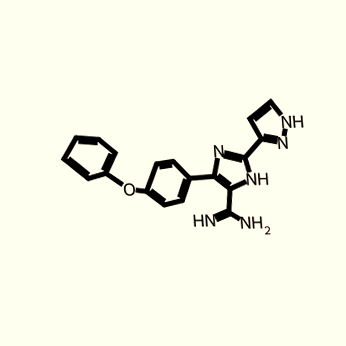 N=C(N)c1[nH]c(-c2cc[nH]n2)nc1-c1ccc(Oc2ccccc2)cc1